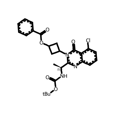 C[C@H](NC(=O)OC(C)(C)C)c1nc2cccc(Cl)c2c(=O)n1C1CC(OC(=O)c2ccccc2)C1